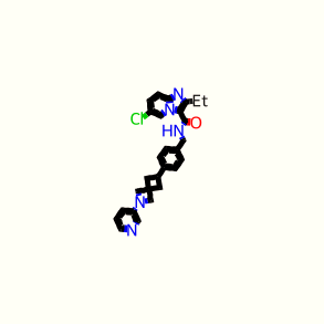 CCc1nc2ccc(Cl)cn2c1C(=O)NCc1ccc(C2CC3(C2)CN(c2cccnc2)C3)cc1